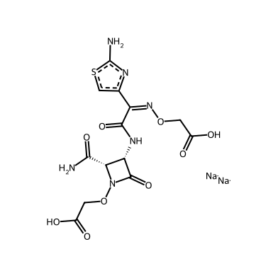 NC(=O)[C@@H]1[C@H](NC(=O)C(=NOCC(=O)O)c2csc(N)n2)C(=O)N1OCC(=O)O.[Na].[Na]